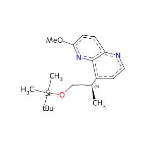 COc1ccc2nccc([C@@H](C)CO[Si](C)(C)C(C)(C)C)c2n1